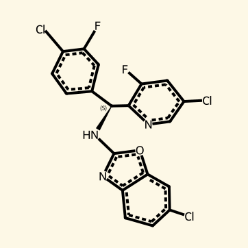 Fc1cc([C@H](Nc2nc3ccc(Cl)cc3o2)c2ncc(Cl)cc2F)ccc1Cl